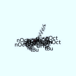 C=CCCCCCCCCCOc1cc(C=N[C@H](C)C(O)(c2cc(C(C)(C)C)ccc2OCCCCCCCC)c2cc(C(C)(C)C)ccc2OCCCCCCCC)c(O)c(C=N[C@H](C)C(O)(c2cc(C(C)(C)C)ccc2OCCCCCCCC)c2cc(C(C)(C)C)ccc2OCCCCCCCC)c1CCCCCCCC